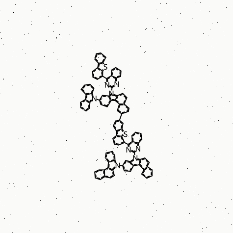 c1ccc2c(c1)ccc1c2c2ccccc2n1-c1ccc2c3c4ccccc4ccc3n(-c3nc(-c4cccc5c4sc4cc(-c6ccc7ccc8c(c7c6)c6ccc(-n7c9ccccc9c9ccccc97)cc6n8-c6nc(-c7cccc8c7sc7ccccc78)c7ccccc7n6)ccc45)c4ccccc4n3)c2c1